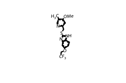 COc1cc(CSc2nc3cc(OCC(F)(F)F)ccc3[nH]2)ncc1C